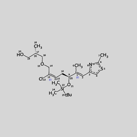 C/C(=C\c1csc(C)n1)[C@H](C/C=C(/Cl)COC[C@@H](C)CO)O[Si](C)(C)C(C)(C)C